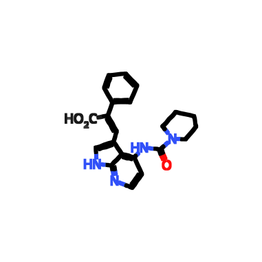 O=C(O)/C(=C\c1c[nH]c2nccc(NC(=O)N3CCCCC3)c12)c1ccccc1